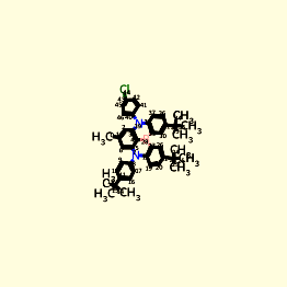 Cc1cc2c3c(c1)N(c1ccc(C(C)(C)C)cc1)c1ccc(C(C)(C)C)cc1B3c1cc(C(C)(C)C)ccc1N2c1ccc(Cl)cc1